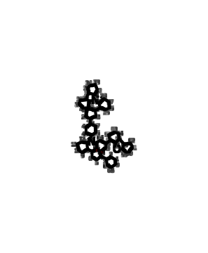 c1ccc(-c2ccc(-c3ccccc3N(c3ccc(-c4cccc(-c5ccccc5-n5c6ccccc6c6ccccc65)c4)cc3)c3cccc(-c4cccc5c4oc4ccccc45)c3)cc2)cc1